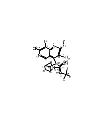 CSc1nc2c(F)c(Cl)ncc2c(N(C(=O)OC(C)(C)C)C2C3CC2N(C(=O)O)C3)c1N